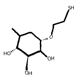 CC1C[C@H](OCCS)C(O)[C@@H](O)[C@@H]1O